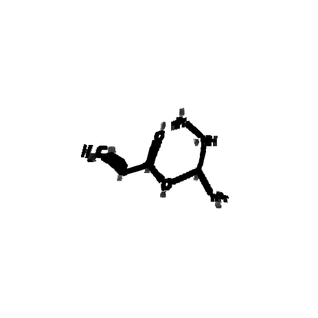 C=CC(=O)OC(CCC)NCCC